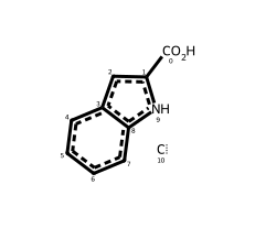 O=C(O)c1cc2ccccc2[nH]1.[C]